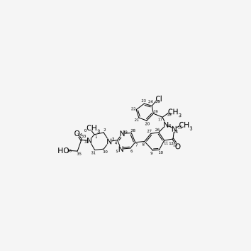 CC1CN(c2ncc(-c3ccc4c(=O)n(C)n(C(C)c5ccccc5Cl)c4c3)cn2)CCN1C(=O)CO